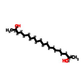 CC(O)CCCCCCCCCCCCCCCCC(C)O